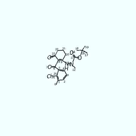 Cc1cccc(C(=O)C2=C(NN(C)C(=O)OC(C)(C)C)CCCC2=O)c1Cl